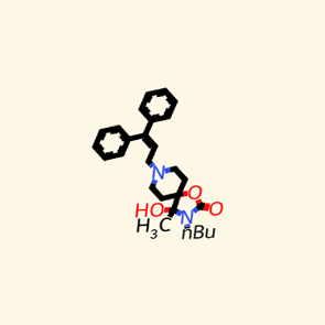 CCCCN1C(=O)OC2(CCN(CC=C(c3ccccc3)c3ccccc3)CC2)C1(C)O